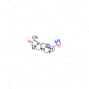 CC1(C)C(=O)C(C#N)=C[C@]2(C)C3=CC4=N[C@]45[C@@H]4CC(c6nnco6)CC[C@]4(C)CC[C@@]5(C)[C@]3(C)CC[C@@H]12